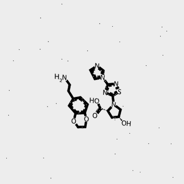 NCCc1ccc2c(c1)OCCO2.O=C(O)[C@H]1C[C@@H](O)CN1c1nc(-n2ccnc2)ns1